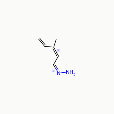 C=C/C(C)=C\C=N/N